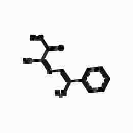 COC(=O)C(C#N)=NC=C(N)c1ccccc1